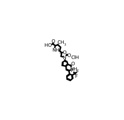 CC(CCC1CN(c2ccc3cc(-c4ccccc4C(F)(F)F)[nH]c(=O)c3c2)C(=O)O1)C(N)C(=O)O.Cl